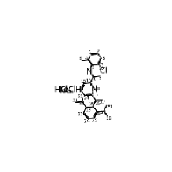 CC(=Nc1c(C)cccc1Cl)c1cccc(C(C)c2c(C(C)C)cccc2C(C)C)n1.Cl.Cl.[Fe]